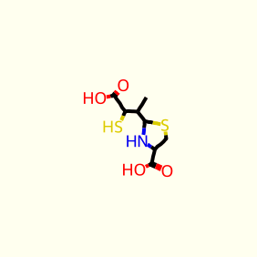 CC(C1NC(C(=O)O)CS1)C(S)C(=O)O